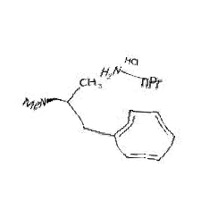 CCCN.CN[C@@H](C)Cc1ccccc1.Cl